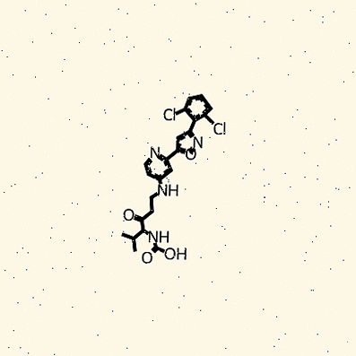 CC(C)C(NC(=O)O)C(=O)CCNc1ccnc(-c2cc(-c3c(Cl)cccc3Cl)no2)c1